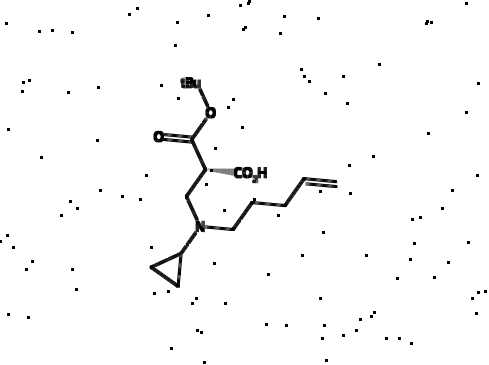 C=CCCCN(C[C@@H](C(=O)O)C(=O)OC(C)(C)C)C1CC1